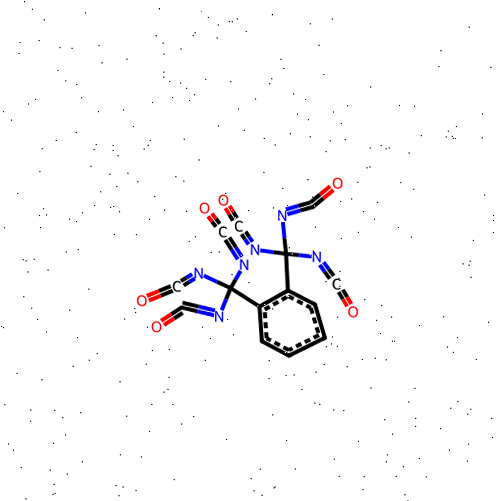 O=C=NC(N=C=O)(N=C=O)c1ccccc1C(N=C=O)(N=C=O)N=C=O